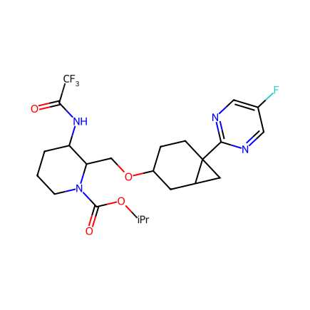 CC(C)OC(=O)N1CCCC(NC(=O)C(F)(F)F)C1COC1CCC2(c3ncc(F)cn3)CC2C1